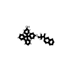 CC(c1ccc2ccccc2c1)C(C)(C)COc1ccc(C2(c3ccc(O)cc3)c3ccccc3-c3ccccc32)cc1